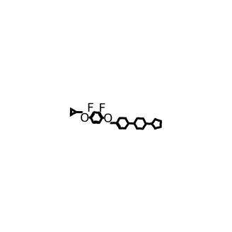 Fc1c(OCC2=CCC(C3CCC(C4CCCC4)CC3)CC2)ccc(OCC2CC2)c1F